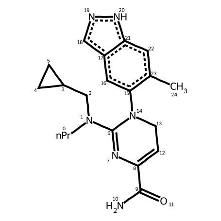 CCCN(CC1CC1)C1=NC(C(N)=O)=CCN1c1cc2cn[nH]c2cc1C